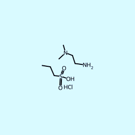 CCCS(=O)(=O)O.CN(C)CCN.Cl